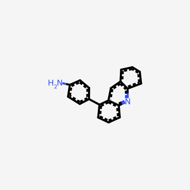 Nc1ccc(-c2cccc3nc4ccccc4cc23)cc1